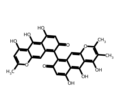 Cc1cc(O)c2c(O)c3c(O)cc(=O)c(-c4c(=O)cc(O)c5c(O)c6c(O)c(C)c(C)oc6cc45)c3cc2o1